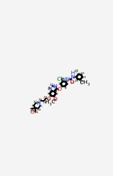 COc1cc2c(Oc3ccc(NC(=O)Nc4cc(C)ccc4F)c(Cl)c3)ncnc2cc1OCCCN1CCC2(CC1)COC2